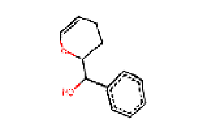 OC(c1ccccc1)C1CCC=CO1